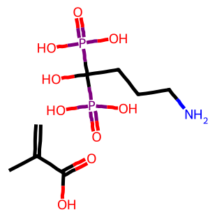 C=C(C)C(=O)O.NCCCC(O)(P(=O)(O)O)P(=O)(O)O